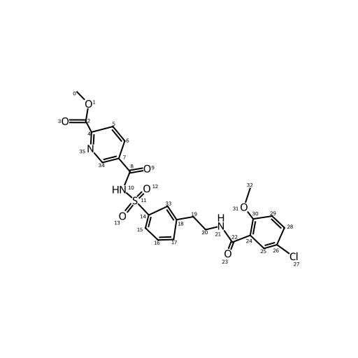 COC(=O)c1ccc(C(=O)NS(=O)(=O)c2cccc(CCNC(=O)c3cc(Cl)ccc3OC)c2)cn1